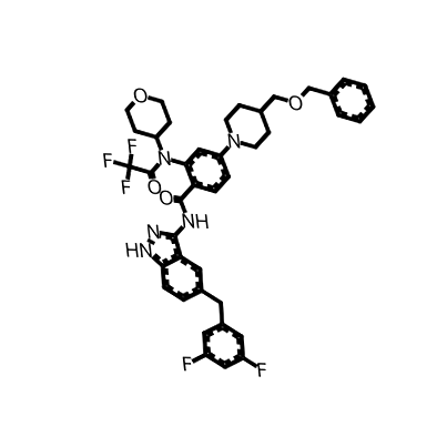 O=C(Nc1n[nH]c2ccc(Cc3cc(F)cc(F)c3)cc12)c1ccc(N2CCC(COCc3ccccc3)CC2)cc1N(C(=O)C(F)(F)F)C1CCOCC1